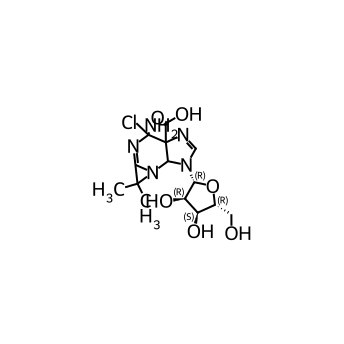 CC1(C)C2=NC(N)(Cl)C3(C(=O)O)N=CN([C@@H]4O[C@H](CO)[C@@H](O)[C@H]4O)C3N21